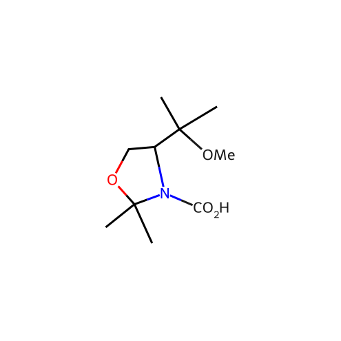 COC(C)(C)C1COC(C)(C)N1C(=O)O